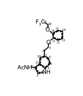 CC(=O)Nc1c[nH]c2ccc(CCOc3ccccc3OCC(F)(F)F)cc12